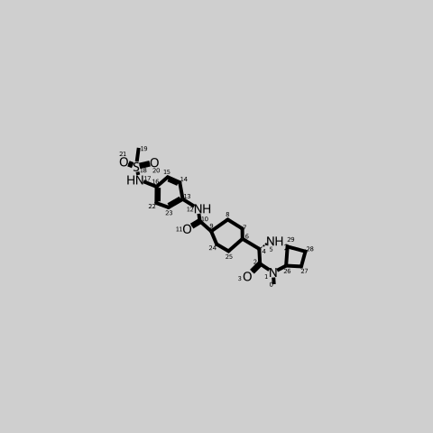 CN(C(=O)[C@@H](N)C1CCC(C(=O)Nc2ccc(NS(C)(=O)=O)cc2)CC1)C1CCC1